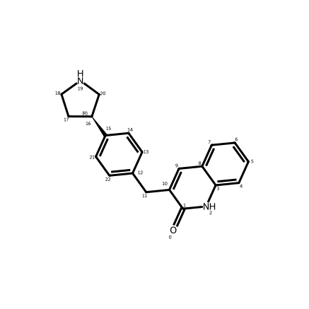 O=c1[nH]c2ccccc2cc1Cc1ccc([C@H]2CCNC2)cc1